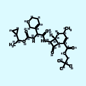 CC1C=C(C(=O)OCC(Cl)(Cl)Cl)N2C(=O)C(NC(=O)C(NC(=O)OC(C)C3CC3)C3=CCCOC3)[C@@H]2S1